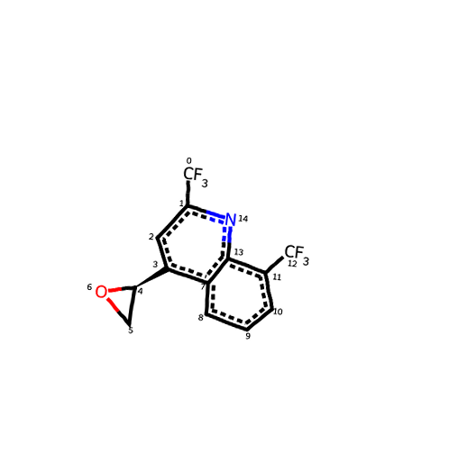 FC(F)(F)c1cc([C@H]2CO2)c2cccc(C(F)(F)F)c2n1